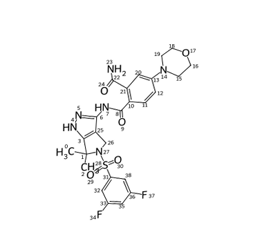 CC1(C)c2[nH]nc(NC(=O)c3ccc(N4CCOCC4)cc3C(N)=O)c2CN1S(=O)(=O)c1cc(F)cc(F)c1